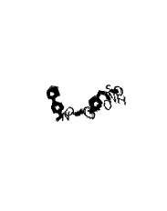 C/C(=N/OCCOc1ccc(CC2SC(=O)NC2=O)cc1)c1ccc(-c2ccccc2)cc1